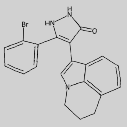 O=c1[nH][nH]c(-c2ccccc2Br)c1-c1cn2c3c(cccc13)CCC2